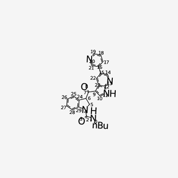 CCCCNC(=O)N1CC(C(=O)c2c[nH]c3ncc(-c4cccnc4)cc23)c2ccccc21